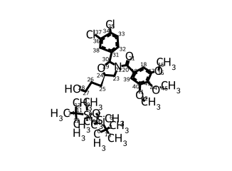 CC(C)(C)[Si](C)(C)O[Si](C)(C)C(C)(C)C.COc1cc(C(=O)N2C[C@@H](CCCO)OC2c2ccc(Cl)c(Cl)c2)cc(OC)c1OC